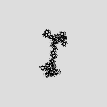 CC1(C)c2ccccc2-c2ccc(N(c3ccc(-c4ccc5cc(-c6ccc7c(c6)C(C)(C)c6cc(N(c8ccc(-c9cccc%10ccccc9%10)cc8)c8ccc9c(c8)C8(c%10ccccc%10-9)c9ccccc9N(c9ccccc9)c9ccccc98)ccc6-7)ccc5c4)cc3)c3ccc4c(c3)C3(c5ccccc5-4)c4ccccc4N(c4ccccc4)c4ccccc43)cc21